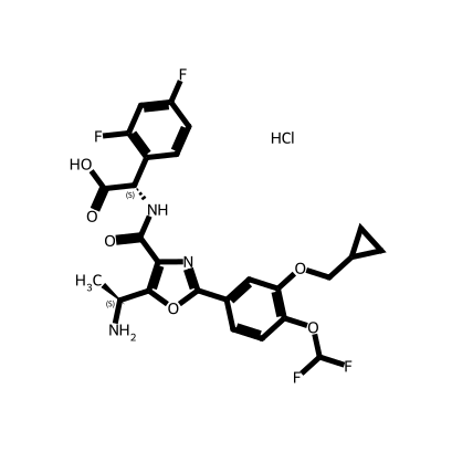 C[C@H](N)c1oc(-c2ccc(OC(F)F)c(OCC3CC3)c2)nc1C(=O)N[C@H](C(=O)O)c1ccc(F)cc1F.Cl